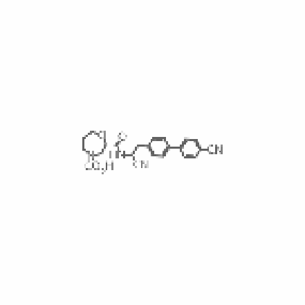 N#Cc1ccc(-c2ccc(C[C@@H](C#N)NC(=O)[C@@H]3CN(C(=O)O)CCCO3)cc2)cc1